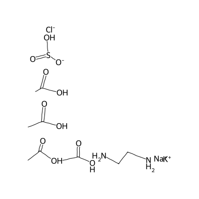 CC(=O)O.CC(=O)O.CC(=O)O.CC(=O)O.NCCN.O=S([O-])O.[Cl-].[K+].[Na+]